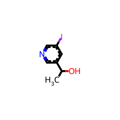 CC(O)c1cncc(I)c1